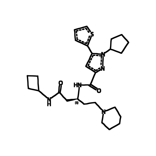 O=C(C[C@H](CCN1CCCCC1)NC(=O)c1cc(-c2cccs2)n(C2CCCC2)n1)NC1CCC1